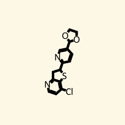 Clc1ccnc2c1SC(c1ccc(C3OCCO3)cn1)C2